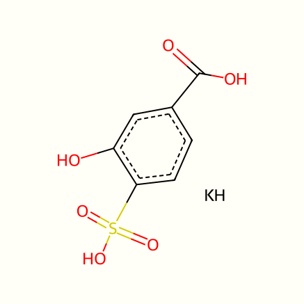 O=C(O)c1ccc(S(=O)(=O)O)c(O)c1.[KH]